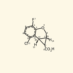 O=C(O)C1[C@H]2COc3c(F)ccc(Cl)c3[C@@H]12